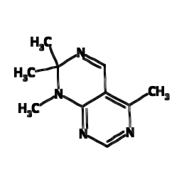 Cc1ncnc2c1C=NC(C)(C)N2C